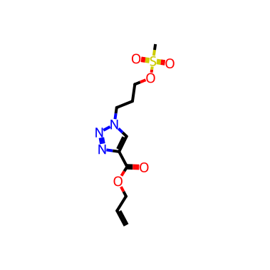 C=CCOC(=O)c1cn(CCCOS(C)(=O)=O)nn1